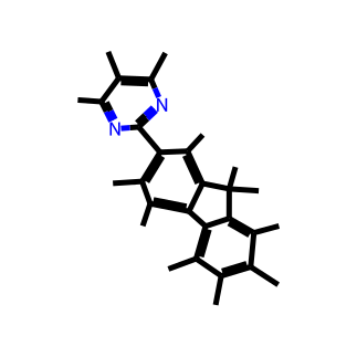 Cc1nc(-c2c(C)c(C)c3c(c2C)C(C)(C)c2c(C)c(C)c(C)c(C)c2-3)nc(C)c1C